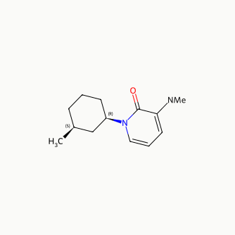 CNc1cccn([C@@H]2CCC[C@H](C)C2)c1=O